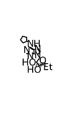 CC[C@H]1OC(n2cnc3c(NC4CCCC4)ncnc32)C(O)[C@@H]1O